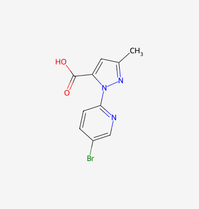 Cc1cc(C(=O)O)n(-c2ccc(Br)cn2)n1